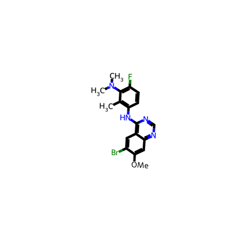 COc1cc2ncnc(Nc3ccc(F)c(N(C)C)c3C)c2cc1Br